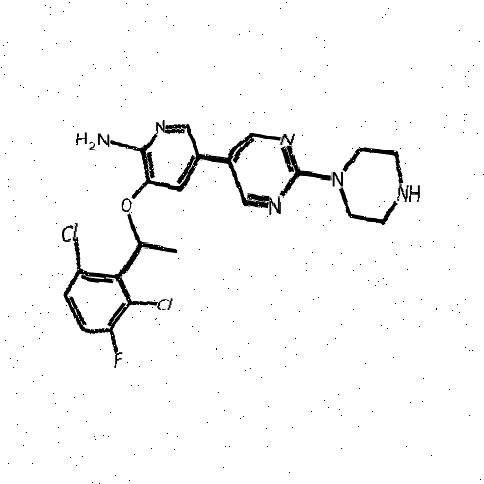 CC(Oc1cc(-c2cnc(N3CCNCC3)nc2)cnc1N)c1c(Cl)ccc(F)c1Cl